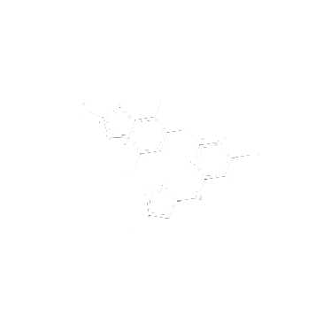 Cc1cc(Nc2cc(Cl)nc(Oc3cc(F)c4[nH]c(C)cc4c3F)n2)n[nH]1